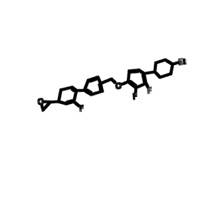 CCC1CCC(c2ccc(OCc3ccc(C4=CCC(C5CO5)C=C4F)cc3)c(F)c2F)CC1